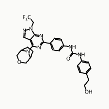 O=C(Nc1ccc(CCO)cc1)Nc1ccc(-c2nc(N3C4CCC3COC4)c3cnn(CC(F)(F)F)c3n2)cc1